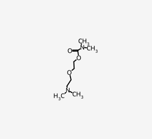 CN(C)CCOCCOC(=O)N(C)C